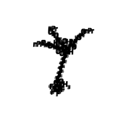 CCCOCCOCCNC(=O)CCC(CCC(=O)NCCOCCOCCC)(CCC(=O)NCCOCCOCCC)NC(=O)CCCCCCCCCCC(=O)Oc1c(C)c(F)c(F)c(F)c1F